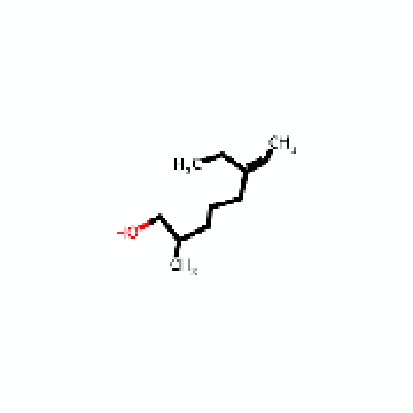 C/C=C(\CC)CCCC(C)CO